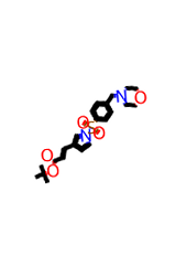 CC(C)(C)OC(=O)/C=C/c1ccn(S(=O)(=O)c2ccc(CN3CCOCC3)cc2)c1